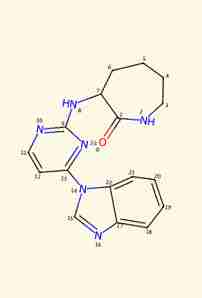 O=C1NCCCCC1Nc1nccc(-n2cnc3ccccc32)n1